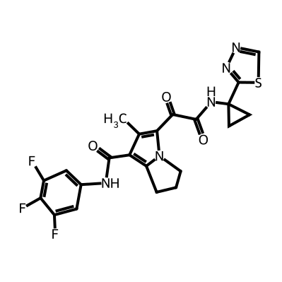 Cc1c(C(=O)Nc2cc(F)c(F)c(F)c2)c2n(c1C(=O)C(=O)NC1(c3nncs3)CC1)CCC2